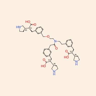 O=C(O)[C@@H](Cc1cccc(CCN(CCOCc2cccc(C[C@H](C(=O)O)[C@H]3CCNC3)c2)C(=O)Cc2cccc(C[C@H](C(=O)O)[C@H]3CCNC3)c2)c1)[C@H]1CCNC1